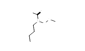 CCCCN(SSC)C(=O)F